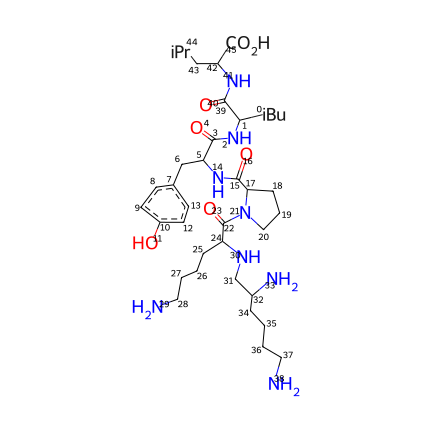 CCC(C)C(NC(=O)C(Cc1ccc(O)cc1)NC(=O)C1CCCN1C(=O)C(CCCCN)NCC(N)CCCCN)C(=O)NC(CC(C)C)C(=O)O